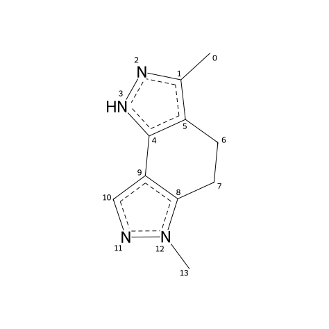 Cc1n[nH]c2c1CCc1c-2cnn1C